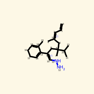 C=C/C=C(/C)CC(C)(C/C(=C\NN)C1=CCCC=C1C)C(C)C